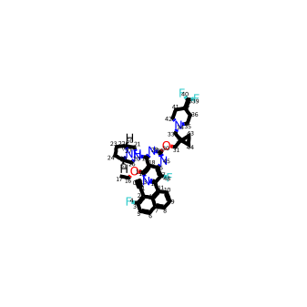 C#Cc1c(F)ccc2cccc(-c3nc(OCC)c4c(N5C[C@H]6CC[C@@H](C5)N6)nc(OCC5(CN6CCC(=C(F)F)CC6)CC5)nc4c3F)c12